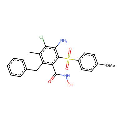 COc1ccc(S(=O)(=O)c2c(N)c(Cl)c(C)c(Cc3ccccc3)c2C(=O)NO)cc1